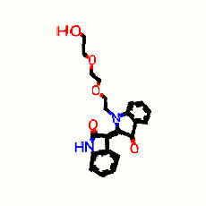 O=C1Nc2ccccc2C1=C1C(=O)c2ccccc2N1CCOCCOCCO